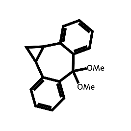 COC1(OC)c2ccccc2C2CC2c2ccccc21